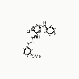 COc1cccc(CCCNc2nc(Nc3c[c]ccc3)ncc2Cl)c1